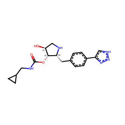 O=C(NCC1CC1)O[C@@H]1[C@@H](O)CN[C@@H]1Cc1ccc(-c2c[nH]nn2)cc1